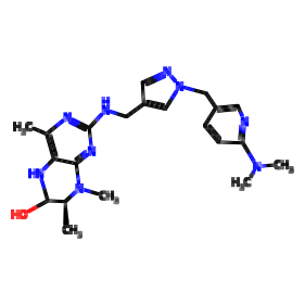 Cc1nc(NCc2cnn(Cc3ccc(N(C)C)nc3)c2)nc2c1NC(O)[C@H](C)N2C